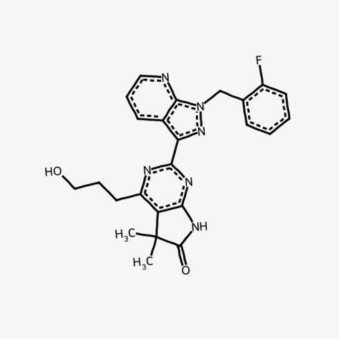 CC1(C)C(=O)Nc2nc(-c3nn(Cc4ccccc4F)c4ncccc34)nc(CCCO)c21